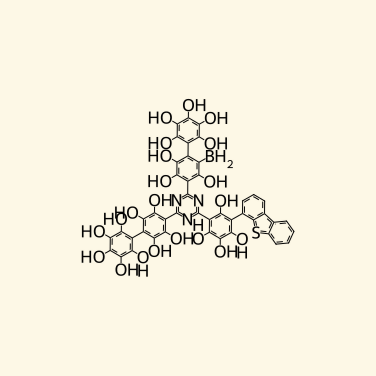 Bc1c(O)c(-c2nc(-c3c(O)c(O)c(-c4c(O)c(O)c(O)c(O)c4O)c(O)c3O)nc(-c3c(O)c(O)c(O)c(-c4cccc5c4sc4ccccc45)c3O)n2)c(O)c(O)c1-c1c(O)c(O)c(O)c(O)c1O